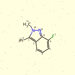 CC(C)c1c2c[c]cc(F)c2nn1C